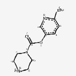 CC(C)(C)c1ccc(OC(=O)N2CCNCC2)cn1